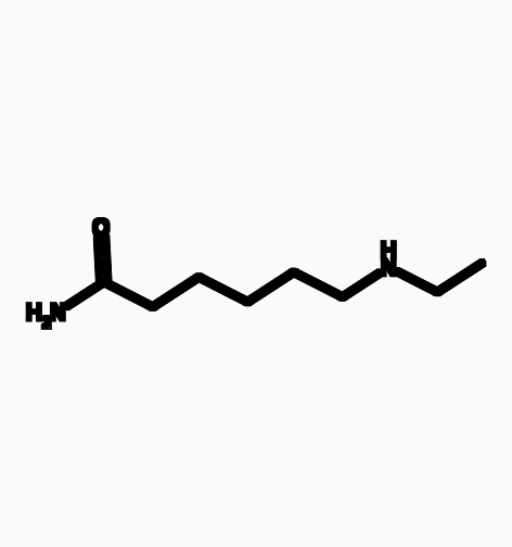 CCNCCCCCC(N)=O